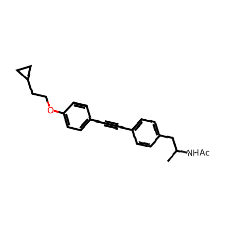 CC(=O)NC(C)Cc1ccc(C#Cc2ccc(OCCC3CC3)cc2)cc1